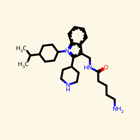 CC(C)C1CCC(n2c(C3CCNCC3)c(CNC(=O)CCCCN)c3ccccc32)CC1